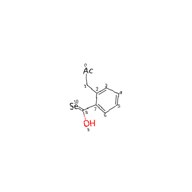 CC(=O)Cc1ccccc1C(O)=[Se]